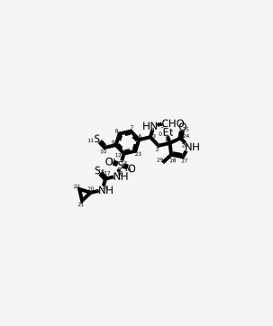 CCC1(CC(NC=O)c2ccc(C=S)c(S(=O)(=O)NC(=S)NC3CC3)c2)C(=O)NC=C1C